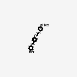 CCCCCC[C@H]1CC[C@H](CCCOc2ccc(CC[C@H]3CC[C@H](CCC)CC3)cc2)CC1